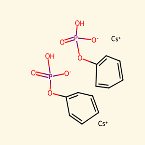 O=P([O-])(O)Oc1ccccc1.O=P([O-])(O)Oc1ccccc1.[Cs+].[Cs+]